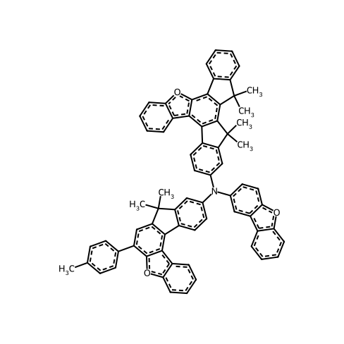 Cc1ccc(-c2cc3c(c4c2oc2ccccc24)-c2ccc(N(c4ccc5c(c4)C(C)(C)c4c6c(c7oc8ccccc8c7c4-5)-c4ccccc4C6(C)C)c4ccc5oc6ccccc6c5c4)cc2C3(C)C)cc1